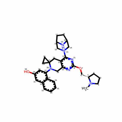 CN1CCC[C@H]1COc1nc2c(c(N3CC4CCC(C3)N4)n1)CC1(CC1)N(c1cc(O)cc3ccccc13)C2